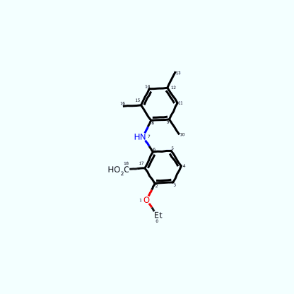 CCOc1cccc(Nc2c(C)cc(C)cc2C)c1C(=O)O